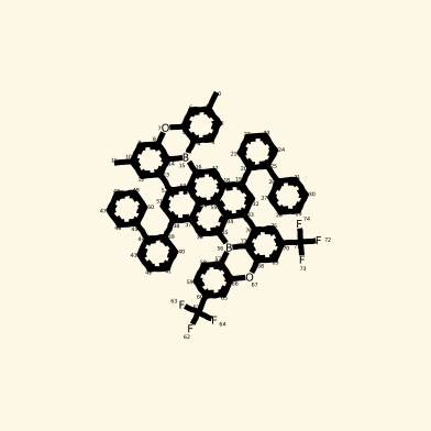 Cc1ccc2c(c1)Oc1cc(C)cc3c1B2c1cc2c(-c4ccccc4-c4ccccc4)cc4c5c(cc6c(-c7ccccc7-c7ccccc7)cc-3c1c6c25)B1c2ccc(C(F)(F)F)cc2Oc2cc(C(F)(F)F)cc-4c21